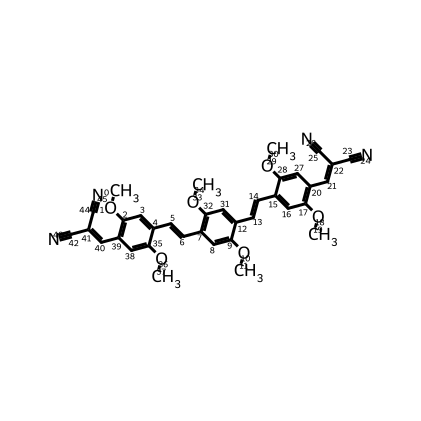 COc1cc(/C=C/c2cc(OC)c(/C=C/c3cc(OC)c(C=C(C#N)C#N)cc3OC)cc2OC)c(OC)cc1C=C(C#N)C#N